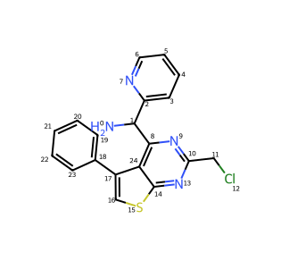 NC(c1ccccn1)c1nc(CCl)nc2scc(-c3ccccc3)c12